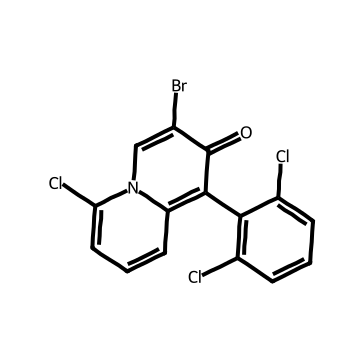 O=c1c(Br)cn2c(Cl)cccc2c1-c1c(Cl)cccc1Cl